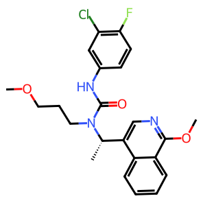 COCCCN(C(=O)Nc1ccc(F)c(Cl)c1)[C@@H](C)c1cnc(OC)c2ccccc12